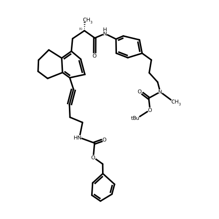 C[C@@H](Cc1ccc(C#CCCNC(=O)OCc2ccccc2)c2c1CCCC2)C(=O)Nc1ccc(CCCN(C)C(=O)OC(C)(C)C)cc1